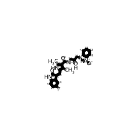 Cc1[nH]c(C=C2C(=O)Nc3ccc(F)cc32)c(C)c1C(=O)NCC(O)Cn1n[n+]([O-])c2ccccc21